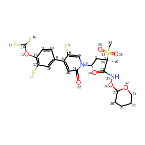 C[C@@](CCn1cc(F)c(-c2ccc(OC(F)F)c(F)c2)cc1=O)(C(=O)NOC1CCCCO1)S(C)(=O)=O